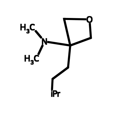 CC(C)CCC1(N(C)C)COC1